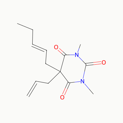 C=CCC1(CC=CCC)C(=O)N(C)C(=O)N(C)C1=O